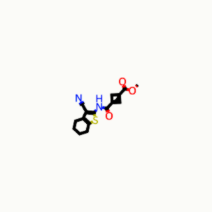 COC(=O)C12CC(C(=O)Nc3sc4c(c3C#N)CCCC4)(C1)C2